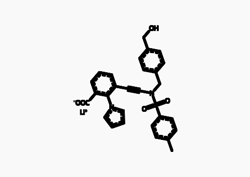 Cc1ccc(S(=O)(=O)N(C#Cc2cccc(C(=O)[O-])c2-n2cccc2)Cc2ccc(CO)cc2)cc1.[Li+]